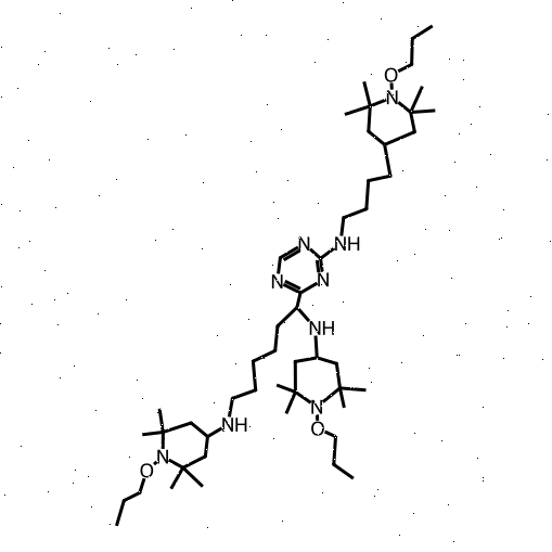 CCCON1C(C)(C)CC(CCCCNc2ncnc(C(CCCCCNC3CC(C)(C)N(OCCC)C(C)(C)C3)NC3CC(C)(C)N(OCCC)C(C)(C)C3)n2)CC1(C)C